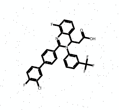 O=C(O)CC1c2cccc(F)c2N=C(c2ccc(-c3ccc(F)c(Cl)c3)cc2)N1c1cccc(C(F)(F)F)c1